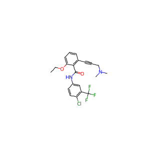 CCOc1cccc(C#CCN(C)C)c1C(=O)Nc1ccc(Cl)c(C(F)(F)F)c1